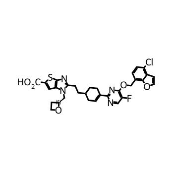 O=C(O)c1cc2c(nc(CCC3CC=C(c4ncc(F)c(OCc5ccc(Cl)c6ccoc56)n4)CC3)n2C[C@@H]2CCO2)s1